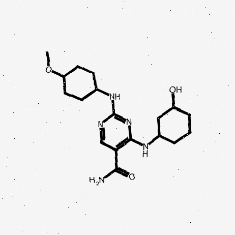 COC1CCC(Nc2ncc(C(N)=O)c(NC3CCCC(O)C3)n2)CC1